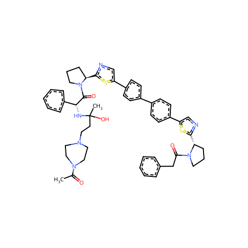 CC(=O)N1CCN(CCC(C)(O)N[C@@H](C(=O)N2CCC[C@H]2c2ncc(-c3ccc(-c4ccc(-c5cnc([C@@H]6CCCN6C(=O)Cc6ccccc6)s5)cc4)cc3)s2)c2ccccc2)CC1